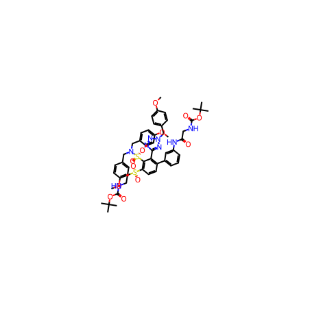 COc1ccc(CN(Cc2ccc(OC)cc2)S(=O)(=O)c2c(S(=O)(=O)CCNC(=O)OC(C)(C)C)ccc(-c3cccc(NC(=O)CNC(=O)OC(C)(C)C)c3)c2-c2nnn(Cc3ccc(OC)cc3)n2)cc1